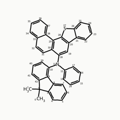 CC1(C)c2ccccc2-c2c(N(c3ccccc3)c3cc4c5ccccc5sc4c4c3ccc3ccccc34)cccc21